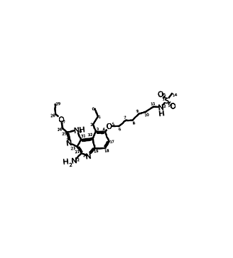 CCCc1c(OCCCCCCNS(C)(=O)=O)ccc2nc(N)c3nc(COCC)[nH]c3c12